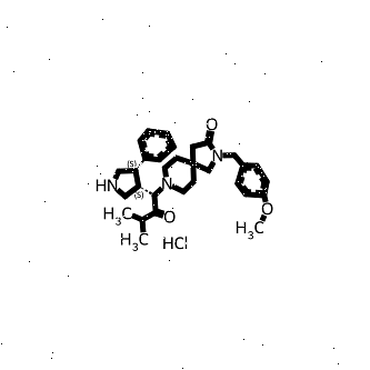 COc1ccc(CN2CC3(CCN(C(C(=O)C(C)C)[C@@H]4CNC[C@@H]4c4ccccc4)CC3)CC2=O)cc1.Cl